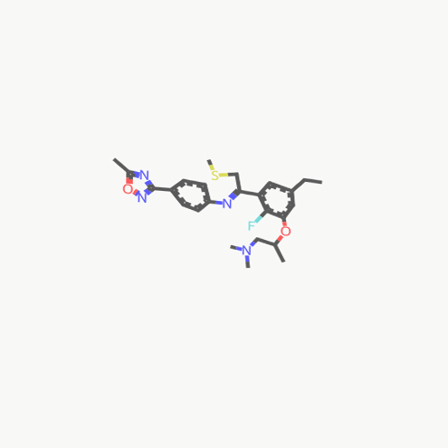 CCc1cc(OC(C)CN(C)C)c(F)c(C(CSC)=Nc2ccc(-c3noc(C)n3)cc2)c1